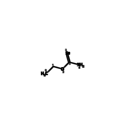 CCOC(N)=[Se]